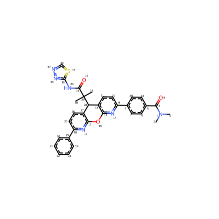 CN(C)C(=O)c1ccc(-c2ccc3c(n2)Oc2nc(-c4ccccc4)ccc2C3C(C)(C)C(=O)Nc2nncs2)cc1